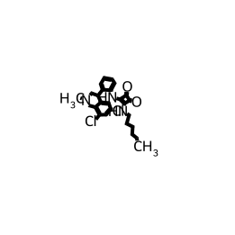 CCCCCCNc1c(Nc2ccccc2C2CN(C)Cc3c(Cl)cc(Cl)cc32)c(=O)c1=O